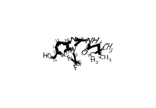 CC(C)(C)CC(=O)Nc1nc2ccc(CO)nc2n1CC(F)(F)F